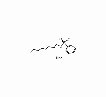 CCCCCCCCOP(=O)([O-])c1ccccc1.[Na+]